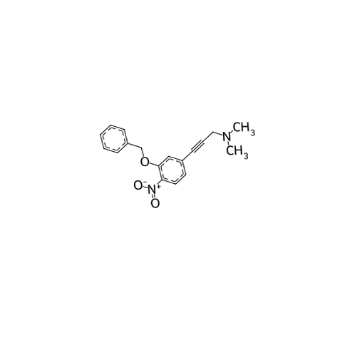 CN(C)CC#Cc1ccc([N+](=O)[O-])c(OCc2ccccc2)c1